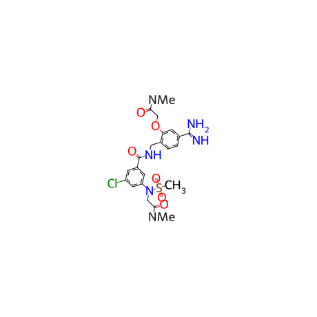 CNC(=O)COc1cc(C(=N)N)ccc1CNC(=O)c1cc(Cl)cc(N(CC(=O)NC)S(C)(=O)=O)c1